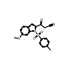 CSc1ccc2cc(C(=O)CC#N)n(S(=O)(=O)c3ccc(C)cc3)c2c1